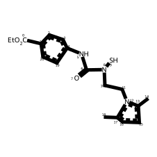 CCOC(=O)c1ccc(NC(=O)N(S)CCn2c(C)ccc2C)cc1